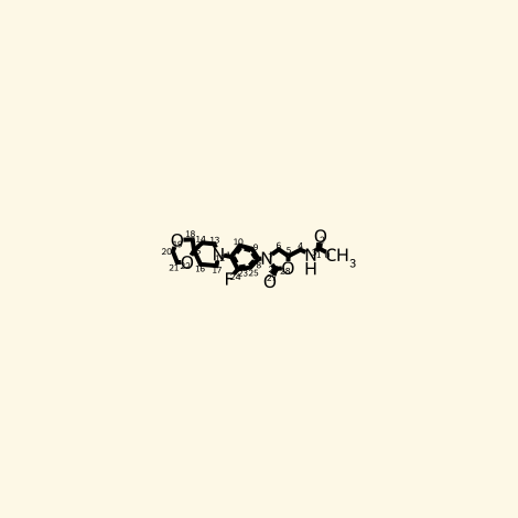 CC(=O)NCC1CN(c2ccc(N3CCC4(CC3)COCCO4)c(F)c2)C(=O)O1